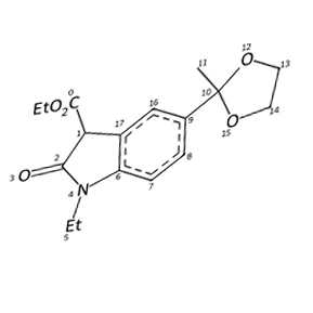 CCOC(=O)C1C(=O)N(CC)c2ccc(C3(C)OCCO3)cc21